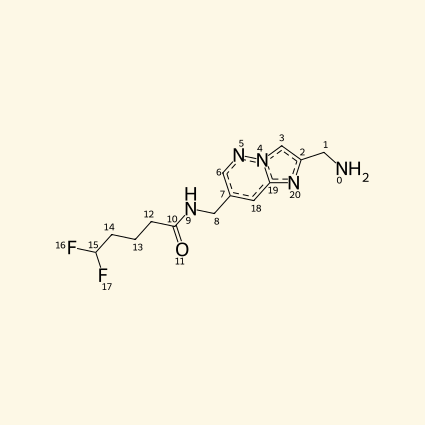 NCc1cn2ncc(CNC(=O)CCCC(F)F)cc2n1